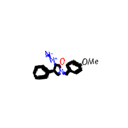 COc1ccc(CN2CC(c3ccccc3)C(=[N+]=[N-])C2=O)cc1